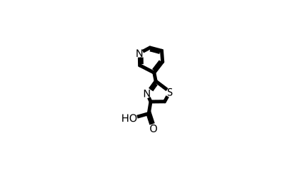 O=C(O)C1CSC(c2cccnc2)=N1